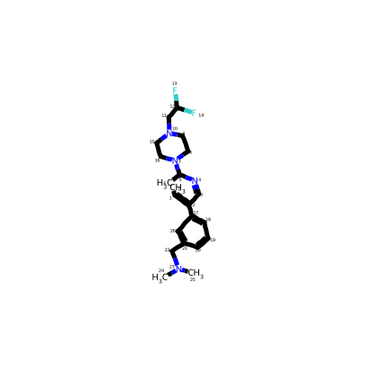 C/C=C(\C=N/C(C)N1CCN(CC(F)F)CC1)c1cccc(CN(C)C)c1